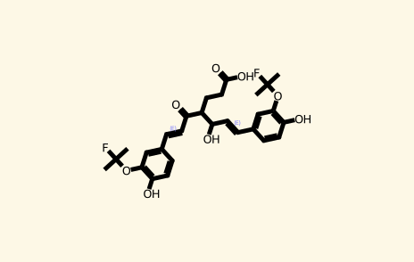 CC(C)(F)Oc1cc(/C=C/C(=O)C(CCC(=O)O)C(O)/C=C/c2ccc(O)c(OC(C)(C)F)c2)ccc1O